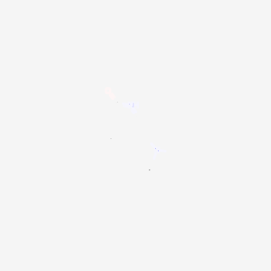 O=c1cc(C(F)(F)F)c2cc(N3CCC[C@@H]3C(F)F)ccc2[nH]1